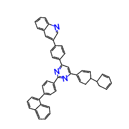 C1=CCC(C2C=CC(c3cc(-c4ccc(-c5cnc6ccccc6c5)cc4)nc(-c4ccc(-c5cccc6ccccc56)cc4)n3)=CC2)C=C1